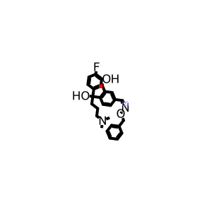 CN(C)CCCC(O)(c1ccc(F)cc1)c1ccc(/C=N\OCc2ccccc2)cc1CO